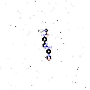 CN1CC[C@H]1C(=O)Nc1ccc(-c2ccnc(Nc3ccc(N4CCOCC4)cc3)n2)cc1